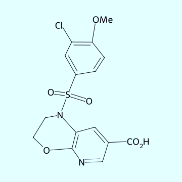 COc1ccc(S(=O)(=O)N2CCOc3ncc(C(=O)O)cc32)cc1Cl